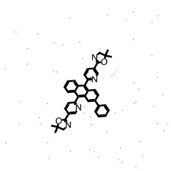 CC1(C)CN=C(c2ccc(-c3c4ccccc4c(-c4ccc(C5=NCC(C)(C)O5)cn4)c4cc(-c5ccccc5)ccc34)nc2)O1